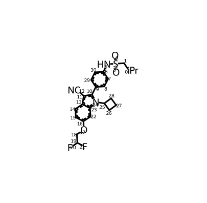 CC(C)CS(=O)(=O)Nc1ccc(-c2c(C#N)c3ccc(OCC(F)F)cc3n2C2CCC2)cc1